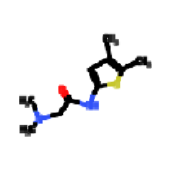 Cc1cc(NC(=O)CN(C)C)sc1C